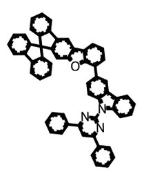 c1ccc(-c2cc(-c3ccccc3)nc(-n3c4ccccc4c4cc(-c5cccc6c5oc5cc7c(cc56)-c5ccccc5C75c6ccccc6-c6ccccc65)ccc43)n2)cc1